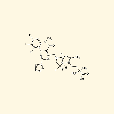 COC(=O)C1=C(CN2CC(F)(F)[C@H]3[C@@H]2CN(C)N3CCC(C)(C)C(=O)O)NC(c2nccs2)=NC1c1ccc(F)c(F)c1Cl